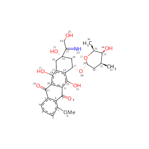 COc1cccc2c1C(=O)c1c(O)c3c(c(O)c1C2=O)C[C@@](O)(C(=N)CO)C[C@@H]3O[C@H]1C[C@H](C)[C@H](O)[C@H](C)O1